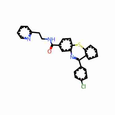 O=C(NCCc1ccccn1)c1ccc2c(c1)N=C(c1ccc(Cl)cc1)c1ccccc1S2